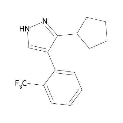 FC(F)(F)c1ccccc1-c1c[nH]nc1C1CCCC1